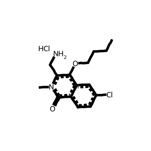 CCCCOc1c(CN)n(C)c(=O)c2ccc(Cl)cc12.Cl